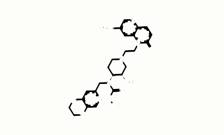 COc1cnc2ccc(=O)n(CCN3CC[C@H](N(Cc4cc5c(cn4)OCCO5)C(=O)OC(C)(C)C)[C@H](O)C3)c2c1